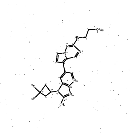 COCCNc1ncc2c(-c3cnc4nc(C)n(C5CC(F)(F)C5)c4c3)ccn2n1